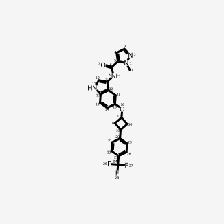 Cn1nccc1C(=O)Nc1c[nH]c2ccc(OC3CC(c4ccc(C(F)(F)F)cc4)C3)cc12